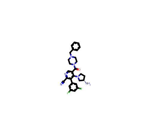 N#Cc1ncc(C(=O)N2CCN(Cc3ccccc3)CC2)c(N2CC[C@H](N)C2)c1-c1cc(F)cc(F)c1